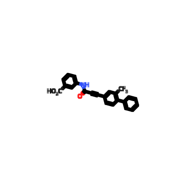 O=C(C#Cc1ccc(-c2ccccc2)c(C(F)(F)F)c1)Nc1cccc(C(=O)O)c1